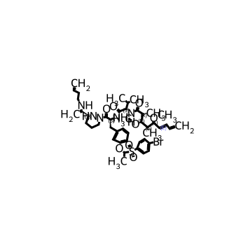 C=C/C=C/[C@H](OC)[C@H](C)[C@@H](OC)[C@@H](C)C(=O)N[C@H](C(=O)N[C@@H](Cc1cccc(OC(C)S(=O)(=O)c2ccc(Br)cc2)c1)C(=O)N1CCC[C@@H](C(=C)NCCC=C)N1)C(C)C